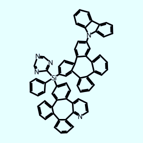 c1ccc([Si](c2ccc3c(c2)-c2ccccc2-c2ccccc2-c2cc(-n4c5ccccc5c5ccccc54)ccc2-3)(c2ccc3c(c2)-c2ccccc2-c2ccccc2-c2ncccc2-3)c2ncncn2)cc1